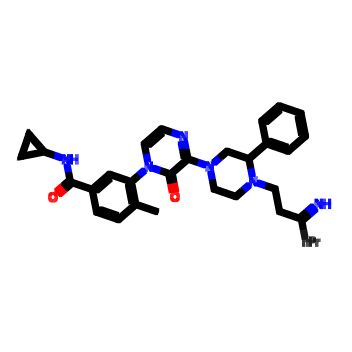 CCCC(=N)CCN1CCN(c2nccn(-c3cc(C(=O)NC4CC4)ccc3C)c2=O)CC1c1ccccc1